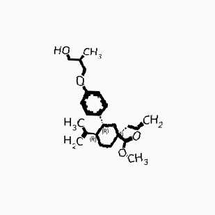 C=CC[C@]1(C(=O)OC)CC[C@@H](C(=C)C)[C@H](c2ccc(OCC(C)CO)cc2)C1